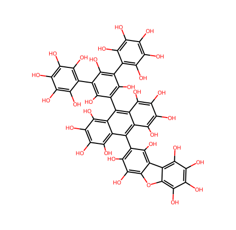 Oc1c(O)c(O)c(-c2c(O)c(-c3c(O)c(O)c(O)c(O)c3O)c(O)c(-c3c4c(O)c(O)c(O)c(O)c4c(-c4c(O)c(O)c5oc6c(O)c(O)c(O)c(O)c6c5c4O)c4c(O)c(O)c(O)c(O)c34)c2O)c(O)c1O